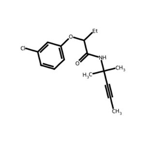 CC#CC(C)(C)NC(=O)C(CC)Oc1cccc(Cl)c1